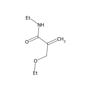 C=C(COCC)C(=O)NCC